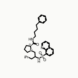 CC(C)CC(CN1CCC[C@H]1C(=O)NCCCCc1ccccc1)NS(=O)(=O)c1cccc2cccnc12